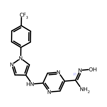 N/C(=N\O)c1cnc(Nc2cnn(-c3ccc(C(F)(F)F)cc3)c2)cn1